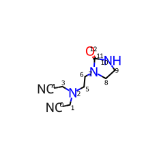 N#CCN(CC#N)CCN1CCNC1=O